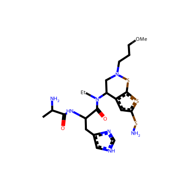 CCN(C(=O)C(Cc1c[nH]cn1)NC(=O)C(C)N)C1CN(CCCOC)Sc2sc(SN)cc21